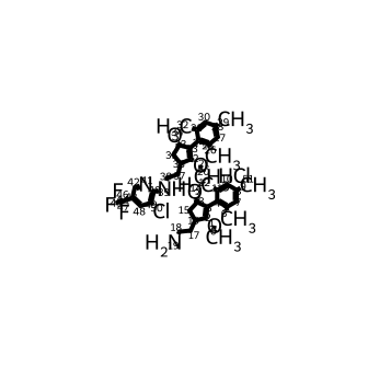 COC1=C(c2c(C)cc(C)cc2C)C(=O)CC1CCN.COC1=C(c2c(C)cc(C)cc2C)C(=O)CC1CCNc1ncc(C(F)(F)F)cc1Cl.Cl